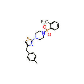 Cc1ccc(Cc2csc(N3CCN(S(=O)(=O)c4ccccc4C(F)(F)F)CC3)n2)cc1